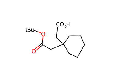 CC(C)(C)OC(=O)CC1(CC(=O)O)CCCCC1